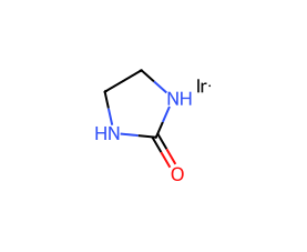 O=C1NCCN1.[Ir]